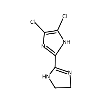 Clc1nc(C2=NCCN2)[nH]c1Cl